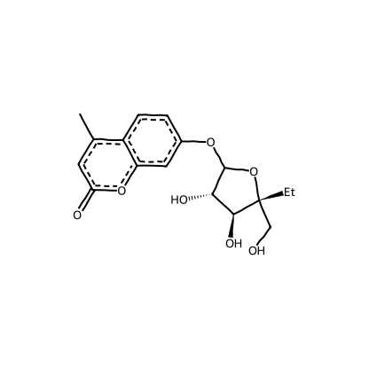 CC[C@]1(CO)OC(Oc2ccc3c(C)cc(=O)oc3c2)[C@@H](O)[C@@H]1O